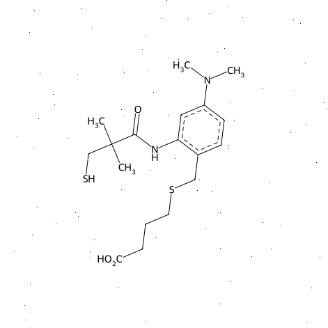 CN(C)c1ccc(CSCCCC(=O)O)c(NC(=O)C(C)(C)CS)c1